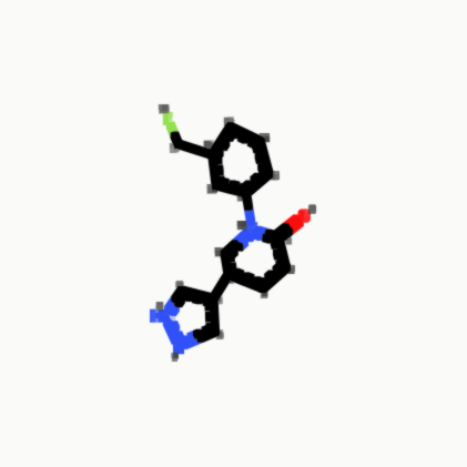 O=c1ccc(-c2cn[nH]c2)cn1-c1cccc(CF)c1